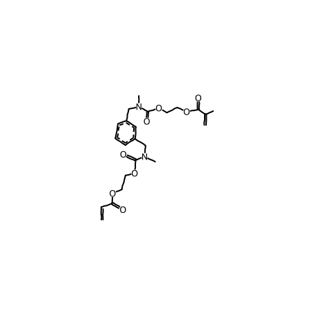 C=CC(=O)OCCOC(=O)N(C)Cc1cccc(CN(C)C(=O)OCCOC(=O)C(=C)C)c1